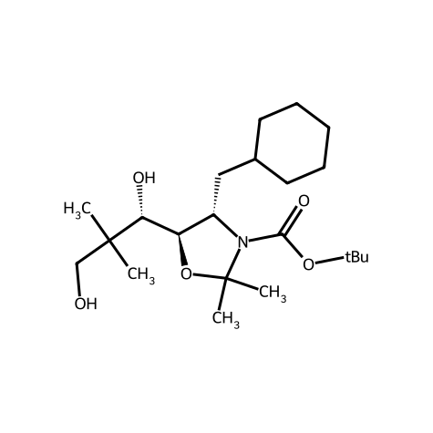 CC(C)(C)OC(=O)N1[C@@H](CC2CCCCC2)[C@H]([C@@H](O)C(C)(C)CO)OC1(C)C